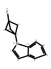 FC12CC(n3ccc4ccccc43)(C1)C2